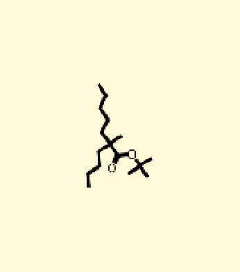 CCCCCC(C)(CCCC)C(=O)OC(C)(C)C